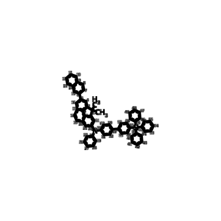 CC1(C)c2cc(-c3ccc4ccccc4c3)cc3ccc4cc(N(c5ccccc5)c5ccc(-c6ccc([Si](c7ccccc7)(c7ccccc7)c7ccccc7)cc6)cc5)cc1c4c23